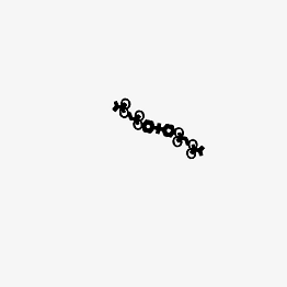 C=C(C)C(=O)OCCC(=O)Oc1ccc(C(C)(C)c2ccc(OC(=O)CCOC(=O)C(=C)C)cc2)cc1